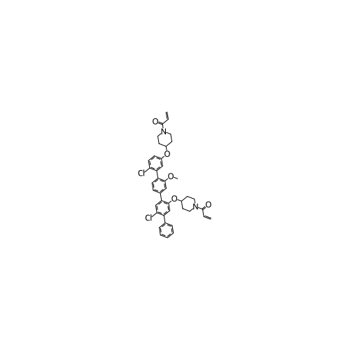 C=CC(=O)N1CCC(Oc2ccc(Cl)c(-c3ccc(-c4cc(Cl)c(-c5ccccc5)cc4OC4CCN(C(=O)C=C)CC4)cc3OC)c2)CC1